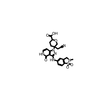 CN1Cc2cc(Nc3nn(C4(CC#N)CCC(C(=O)O)OC4)c4cc[nH]c(=O)c34)ccc2S1(=O)=O